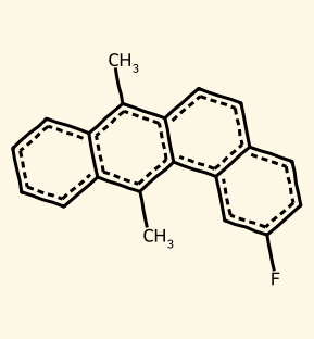 Cc1c2ccccc2c(C)c2c1ccc1ccc(F)cc12